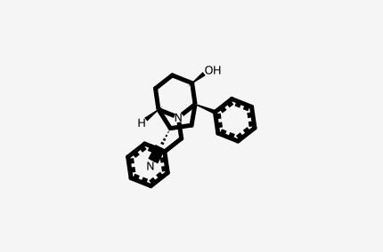 N#C[C@H]1C[C@@]2(c3ccccc3)[C@H](O)CC[C@@H]1N2Cc1ccccc1